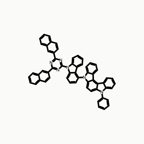 c1ccc(-n2c3ccccc3c3c4c5ccccc5n(-c5cccc6c5c5ccccc5n6-c5nc(-c6ccc7ccccc7c6)nc(-c6ccc7ccccc7c6)n5)c4ccc32)cc1